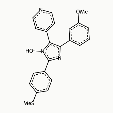 COc1cccc(-c2nc(-c3ccc(SC)cc3)n(O)c2-c2ccncc2)c1